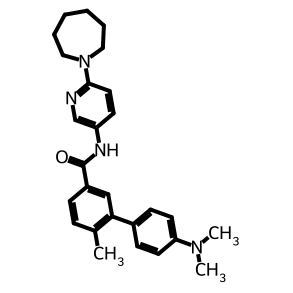 Cc1ccc(C(=O)Nc2ccc(N3CCCCCC3)nc2)cc1-c1ccc(N(C)C)cc1